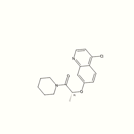 C[C@@H](Oc1ccc2c(Cl)ccnc2c1)C(=O)N1CCCCC1